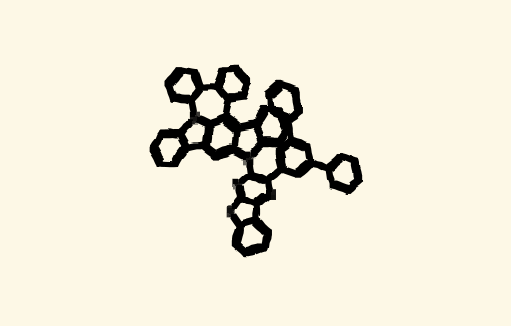 c1ccc(-c2cc(-c3ccccc3)cc(-c3nc4c(nc3-n3c5ccccc5c5c6c7c(cc53)c3ccccc3n7-c3ccccc3-c3ccccc3-6)sc3ccccc34)c2)cc1